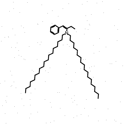 CCCCCCCCCCCCCCCCCCN(CCCCCCCCCCCCCCCCCC)C(=Cc1ccccc1)CC